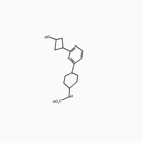 O=C(O)NC1CCN(c2ccnc(C3CC(O)C3)n2)CC1